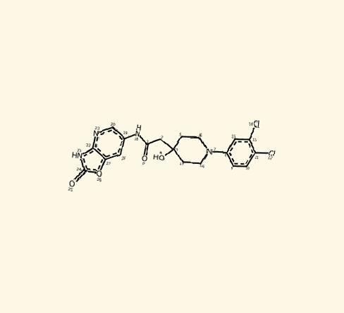 O=C(CC1(O)CCN(c2ccc(Cl)c(Cl)c2)CC1)Nc1cnc2[nH]c(=O)oc2c1